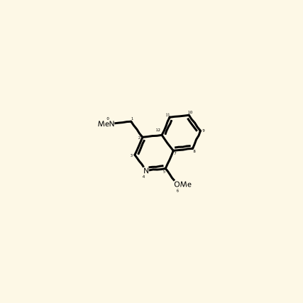 CNCc1cnc(OC)c2ccccc12